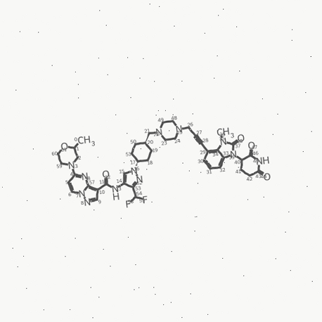 CC1CN(c2ccn3ncc(C(=O)Nc4cn([C@H]5CC[C@H](CN6CCN(CC#Cc7cccc8c7n(C)c(=O)n8C7CCC(=O)NC7=O)CC6)CC5)nc4C(F)F)c3n2)CCO1